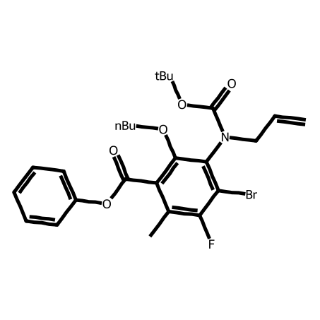 C=CCN(C(=O)OC(C)(C)C)c1c(Br)c(F)c(C)c(C(=O)Oc2ccccc2)c1OCCCC